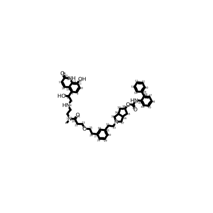 CN(CCNCC(O)c1ccc(O)c2[nH]c(=O)ccc12)C(=O)CCOCCc1cccc(CCN2CC3CC(OC(=O)Nc4ccccc4-c4ccccc4)CC3C2)c1